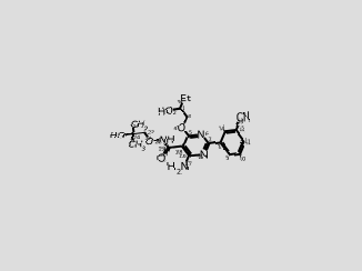 CCC(O)COc1nc(-c2cccc(C#N)c2)nc(N)c1C(=O)NOCC(C)(C)O